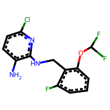 Nc1ccc(Cl)nc1NCc1c(F)cccc1OC(F)F